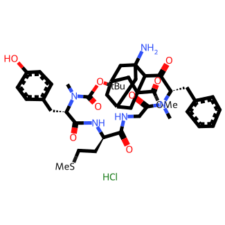 COC(=O)C12CC3CC(CC(N)(C3)C1C(=O)[C@H](Cc1ccccc1)N(C)C(=O)CNC(=O)[C@@H](CCSC)NC(=O)[C@H](Cc1ccc(O)cc1)N(C)C(=O)OC(C)(C)C)C2.Cl